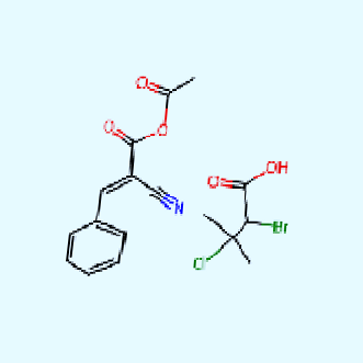 CC(=O)OC(=O)/C(C#N)=C/c1ccccc1.CC(C)(Cl)C(Br)C(=O)O